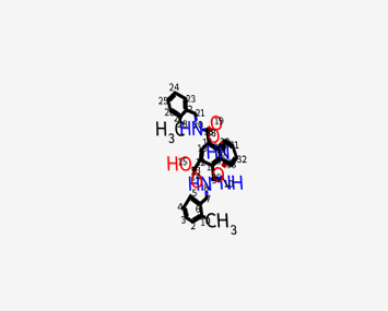 Cc1ccccc1CNC(=N)c1c(C(=O)O)cc(C(=O)NCc2ccccc2C)c2c3ccc(c(=O)[nH]c3=O)c12